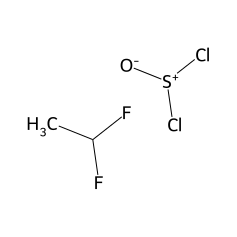 CC(F)F.[O-][S+](Cl)Cl